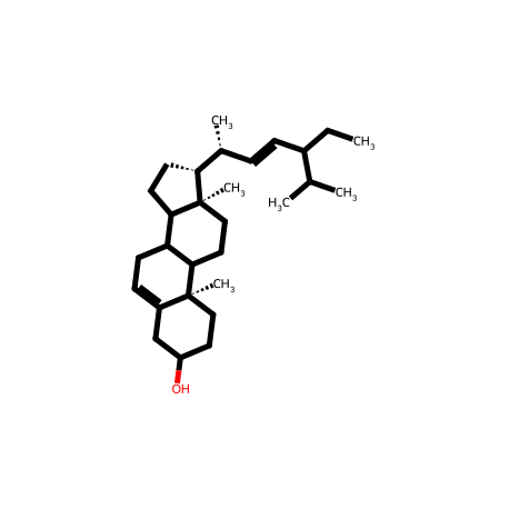 CCC(/C=C/[C@@H](C)[C@H]1CCC2C3CC=C4CC(O)CC[C@]4(C)C3CC[C@@]21C)C(C)C